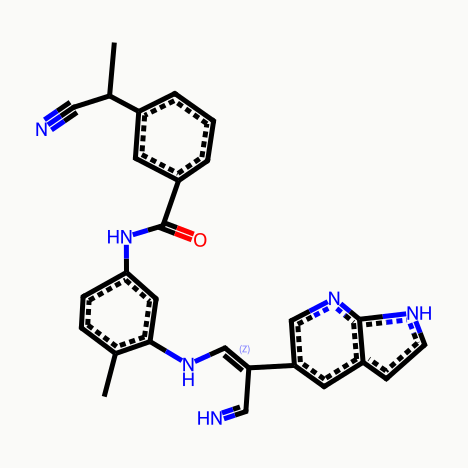 Cc1ccc(NC(=O)c2cccc(C(C)C#N)c2)cc1N/C=C(\C=N)c1cnc2[nH]ccc2c1